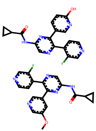 COc1cncc(-c2nc(NC(=O)C3CC3)cnc2-c2ccncc2F)c1.O=C(Nc1cnc(-c2ccncc2F)c(-c2ccc(O)nc2)n1)C1CC1